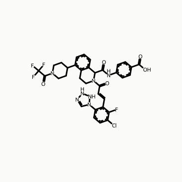 O=C(O)c1ccc(NC(=O)C2c3cccc(C4CCN(C(=O)C(F)(F)F)CC4)c3CCN2C(=O)/C=C/c2c(N3C=NNN3)ccc(Cl)c2F)cc1